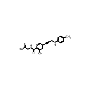 Cc1ccc(NCC#Cc2cnc(C(=O)NCC(=O)O)c(O)c2)cc1